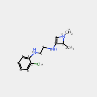 CC1C(NCCNc2ccccc2Cl)=CN1C